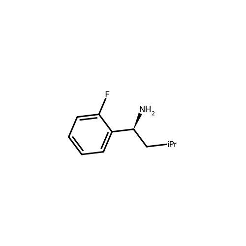 CC(C)C[C@H](N)c1ccccc1F